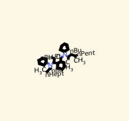 CCCCCCCC(C)C(CCCC)N(c1ccccc1)C(c1ccccc1C(C)N(c1ccccc1)C(C)C(CCCC)C(C)CCCCC)C(CC)CCCC